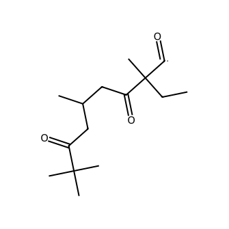 CCC(C)([C]=O)C(=O)CC(C)CC(=O)C(C)(C)C